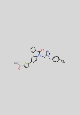 COC(=O)c1ccc(-c2ccc(N(Cc3cncn3Cc3ccc(C#N)cc3)C(=O)c3ccccc3)cc2)s1